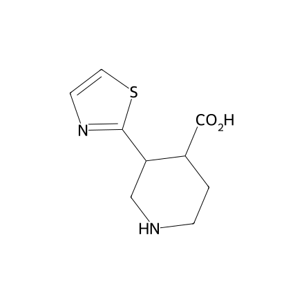 O=C(O)C1CCNCC1c1nccs1